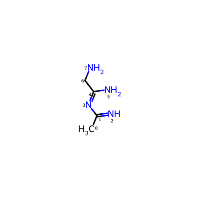 CC(=N)/N=C(\N)CN